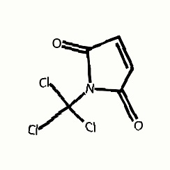 O=C1C=CC(=O)N1C(Cl)(Cl)Cl